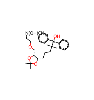 CN(O)CCOC[C@H]1OC(C)(C)O[C@H]1CCCC(C)(C)[Si](O)(c1ccccc1)c1ccccc1